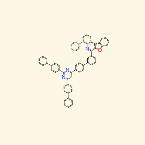 c1ccc(-c2ccc(-c3cc(-c4ccc(-c5cccc(-c6nc7c(-c8ccccc8)cccc7c7c6oc6ccccc67)c5)cc4)nc(-c4ccc(-c5ccccc5)cc4)n3)cc2)cc1